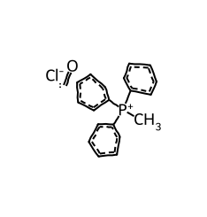 C[P+](c1ccccc1)(c1ccccc1)c1ccccc1.[C]=O.[Cl-]